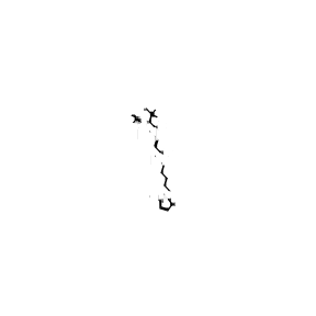 CC1(C)OCC(C)(C)C(C(=O)NC=CC(=O)NCCCCCN2C(=O)C=CC2=O)O1